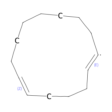 [C]1=C/CCC/C=C\CCCCCCC/1